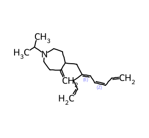 C=C/C=C\C=C(/CC=C)CC1CCN(C(C)C)CCC1=C